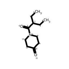 CCC(CC)C(=O)N1CCC(=O)CC1